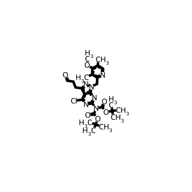 COc1c(C)cnc(Cn2nc(CCC=O)c3c(Cl)nc(N(C(=O)OC(C)(C)C)C(=O)OC(C)(C)C)nc32)c1C